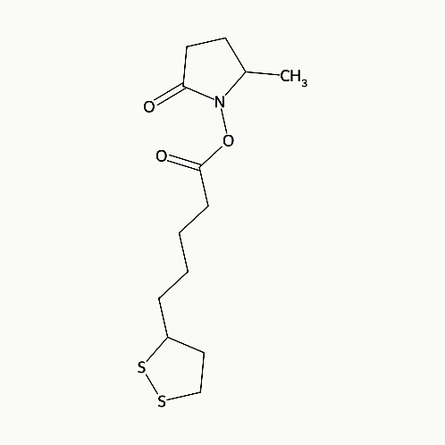 CC1CCC(=O)N1OC(=O)CCCCC1CCSS1